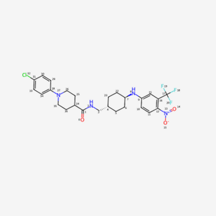 O=C(NC[C@H]1CC[C@H](Nc2ccc([N+](=O)[O-])c(C(F)(F)F)c2)CC1)C1CCN(c2ccc(Cl)cc2)CC1